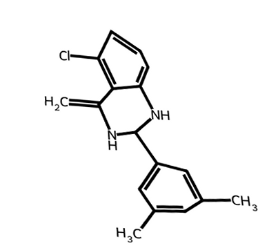 C=C1NC(c2cc(C)cc(C)c2)Nc2cccc(Cl)c21